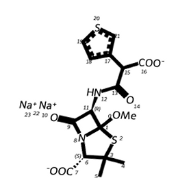 COC12SC(C)(C)[C@H](C(=O)[O-])N1C(=O)[C@H]2NC(=O)C(C(=O)[O-])c1ccsc1.[Na+].[Na+]